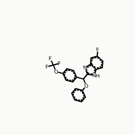 Fc1ccc2[nH]c(C(Oc3ccccc3)c3ccc(OC(F)(F)F)cc3)nc2c1